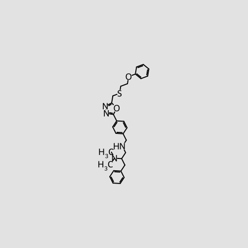 CN(C)C(CNCc1ccc(-c2nnc(CSCCOc3ccccc3)o2)cc1)Cc1ccccc1